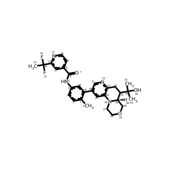 Cc1ccc(NC(=O)c2ccnc(C(C)(F)F)c2)cc1-c1cnc2c(c1)N1CCOC[C@H]1C(C(C)(C)O)C2